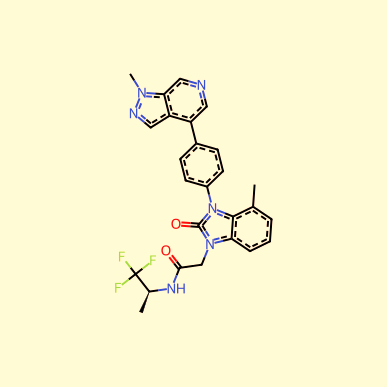 Cc1cccc2c1n(-c1ccc(-c3cncc4c3cnn4C)cc1)c(=O)n2CC(=O)N[C@@H](C)C(F)(F)F